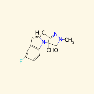 CC1=NN(C)CC1(C=O)n1ccc2cc(F)ccc21